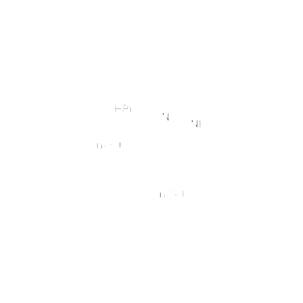 Br.CCCCCCCCc1c[nH]nc1CCCCCCCC